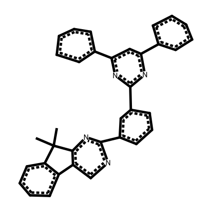 CC1(C)c2ccccc2-c2cnc(-c3cccc(-c4nc(-c5ccccc5)cc(-c5ccccc5)n4)c3)nc21